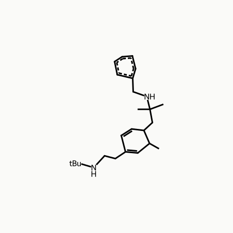 CC1C=C(CCNC(C)(C)C)C=CC1CC(C)(C)NCc1ccccc1